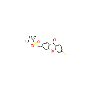 CC(C)S(=O)(=O)Cc1ccc(C(=O)c2ccc(F)cc2)c(Br)c1